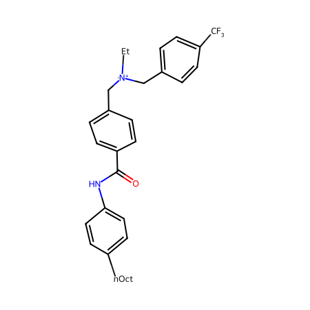 CCCCCCCCc1ccc(NC(=O)c2ccc(C[N+](CC)Cc3ccc(C(F)(F)F)cc3)cc2)cc1